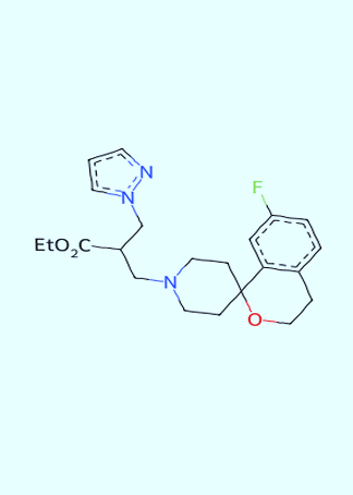 CCOC(=O)C(CN1CCC2(CC1)OCCc1ccc(F)cc12)Cn1cccn1